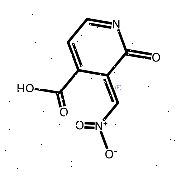 O=C(O)C1=CC=NC(=O)/C1=C/[N+](=O)[O-]